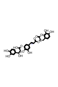 O=C(/C=C/c1ccc(O[C@@H](C(=O)O)[C@H](O)c2ccc(O)c(O)c2)c(O)c1)O[C@H](Cc1ccc(O)c(O)c1)C(=O)O